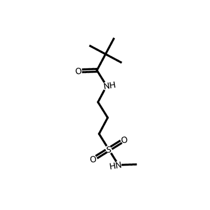 CNS(=O)(=O)CCCNC(=O)C(C)(C)C